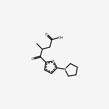 CC(CC(=O)O)C(=O)c1ccc(N2CCCC2)s1